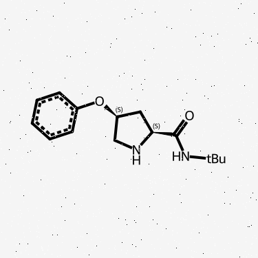 CC(C)(C)NC(=O)[C@@H]1C[C@H](Oc2ccccc2)CN1